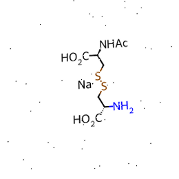 CC(=O)N[C@@H](CSSC[C@H](N)C(=O)O)C(=O)O.[Na]